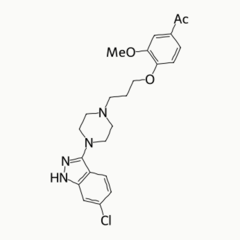 COc1cc(C(C)=O)ccc1OCCCN1CCN(c2n[nH]c3cc(Cl)ccc23)CC1